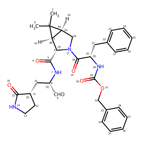 CC1(C)[C@@H]2[C@@H](C(=O)N[C@H](C=O)C[C@@H]3CCNC3=O)N(C(=O)[C@H](Cc3ccccc3)NC(=O)OCc3ccccc3)C[C@@H]21